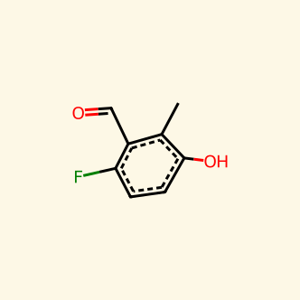 Cc1c(O)ccc(F)c1C=O